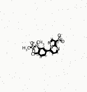 CN(c1cc(-c2ccnc3c([N+](=O)[O-])cnn23)ccc1Cl)S(C)(=O)=O